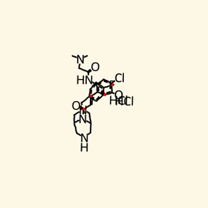 COc1cc(C=CC(=O)N2C3CNCC2CN(Cc2ccc(F)cc2)C3)c(NC(=O)CN(C)C)cc1Cl.Cl.Cl